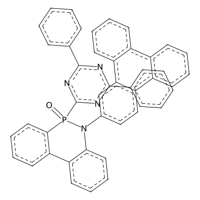 O=P1(c2nc(-c3ccccc3)nc(-c3ccccc3)n2)c2ccccc2-c2ccccc2N1c1ccc2c3ccccc3c3ccccc3c2c1